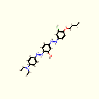 CCCCOc1ccc(/N=N/c2ccc(/N=N/c3ccc(N(CC)CC)cc3)c(O)c2)cc1F